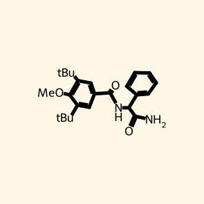 COc1c(C(C)(C)C)cc(C(=O)NC(C(N)=O)c2ccccc2)cc1C(C)(C)C